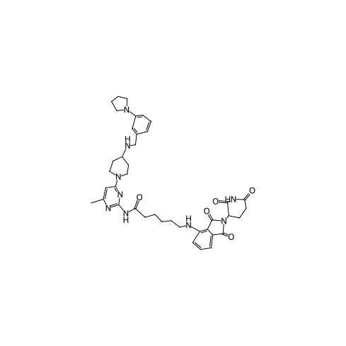 Cc1cc(N2CCC(NCc3cccc(N4CCCC4)c3)CC2)nc(NC(=O)CCCCCNc2cccc3c2C(=O)N(C2CCC(=O)NC2=O)C3=O)n1